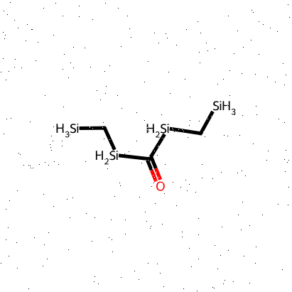 O=C([SiH2]C[SiH3])[SiH2]C[SiH3]